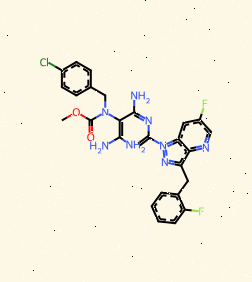 C=C(/N=C(/N)C(=C(N)N)N(Cc1ccc(Cl)cc1)C(=O)OC)n1nc(Cc2ccccc2F)c2ncc(F)cc21